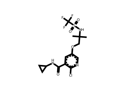 CC(C)(COc1cnc(Cl)c(C(=O)NC2CC2)c1)NS(=O)(=O)C(F)(F)F